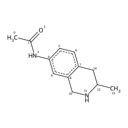 CC(=O)Nc1ccc2c(c1)CNC(C)C2